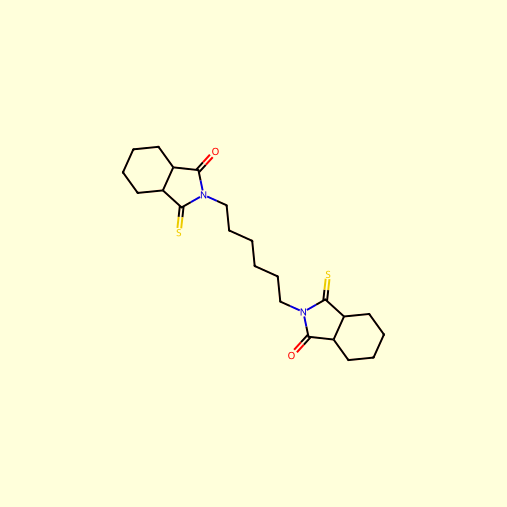 O=C1C2CCCCC2C(=S)N1CCCCCCN1C(=O)C2CCCCC2C1=S